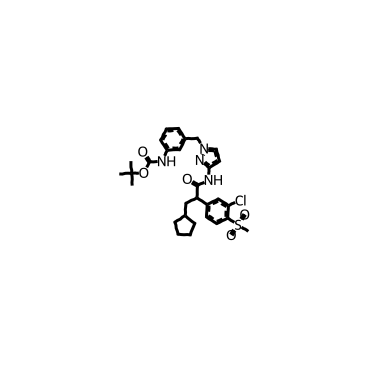 CC(C)(C)OC(=O)Nc1cccc(Cn2ccc(NC(=O)C(CC3CCCC3)c3ccc(S(C)(=O)=O)c(Cl)c3)n2)c1